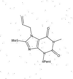 C=CCn1c(SC)nc2c1c(=O)n(C)c(=O)n2CCCCC